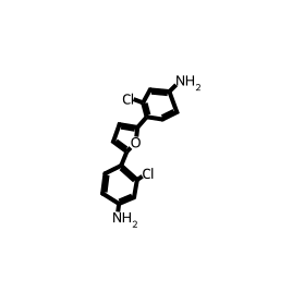 Nc1ccc(-c2ccc(-c3ccc(N)cc3Cl)o2)c(Cl)c1